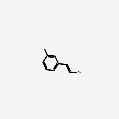 CC(C)C=Cc1cccc(I)c1